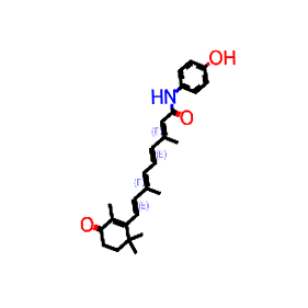 CC1=C(/C=C/C(C)=C/C=C/C(C)=C/C(=O)Nc2ccc(O)cc2)C(C)(C)CCC1=O